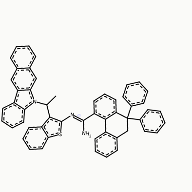 CC(c1c(/N=C(\N)c2cccc3c2-c2ccccc2CC3(c2ccccc2)c2ccccc2)sc2ccccc12)n1c2ccccc2c2cc3ccccc3cc21